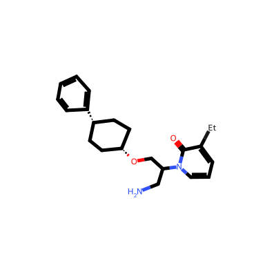 CCc1cccn(C(CN)CO[C@H]2CC[C@@H](c3ccccc3)CC2)c1=O